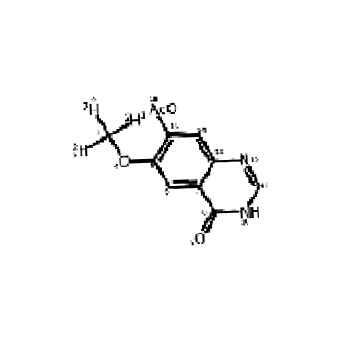 [2H]C([2H])([2H])Oc1cc2c(=O)[nH]cnc2cc1OC(C)=O